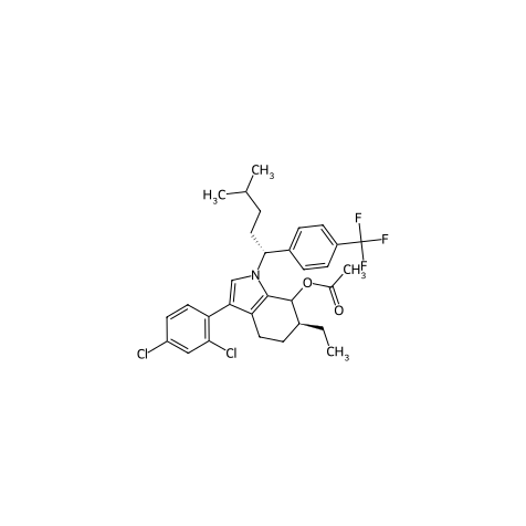 CC[C@H]1CCc2c(-c3ccc(Cl)cc3Cl)cn([C@H](CCC(C)C)c3ccc(C(F)(F)F)cc3)c2C1OC(C)=O